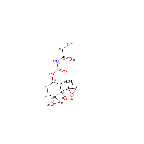 CC1(C2(O)C[C@H](OC(=O)NC(=O)CCl)CCC23CO3)CO1